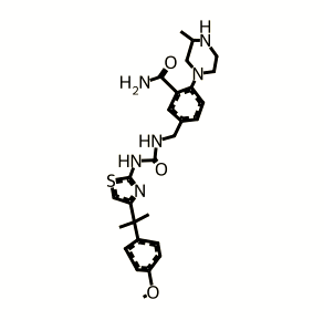 COc1ccc(C(C)(C)c2csc(NC(=O)NCc3ccc(N4CCNC(C)C4)c(C(N)=O)c3)n2)cc1